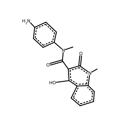 CN(C(=O)c1c(O)c2ccccc2n(C)c1=O)c1ccc(N)cc1